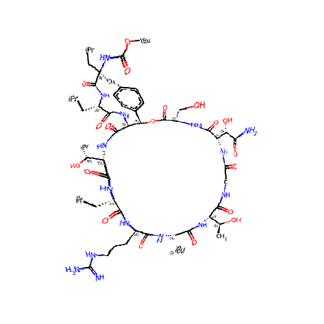 CC[C@H](C)[C@@H]1NC(=O)[C@@H](CCCNC(=N)N)NC(=O)[C@H](CC(C)C)NC(=O)[C@H]([C@H](O)C(C)C)NC(=O)[C@@H](NC(=O)[C@H](CC(C)C)NC(=O)[C@@](C)(CC(C)C)NC(=O)OC(C)(C)C)[C@@H](c2ccccc2)OC(=O)[C@H](CO)NC(=O)[C@H]([C@H](O)C(N)=O)NC(=O)CNC(=O)[C@H]([C@H](C)O)NC1=O